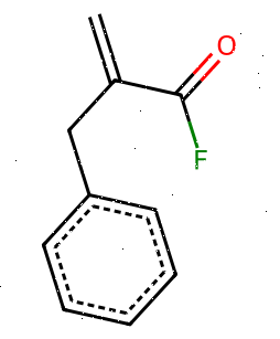 C=C(Cc1ccccc1)C(=O)F